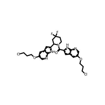 O=C(c1cc2cc(OCCCCl)cnc2[nH]1)N1CCC(F)(F)CC1c1cc2cc(OCCCCl)cnc2[nH]1